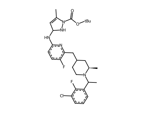 CC1=CC(Nc2ccc(F)c(CC3CCN(C(C)c4cccc(Cl)c4F)[C@H](C)C3)n2)NN1C(=O)OC(C)(C)C